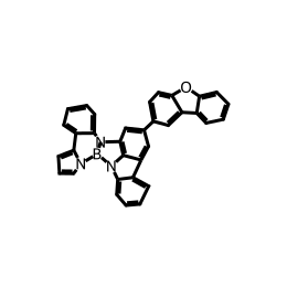 c1ccc2c(c1)-c1cccn1B1N2c2cc(-c3ccc4oc5ccccc5c4c3)cc3c4ccccc4n1c23